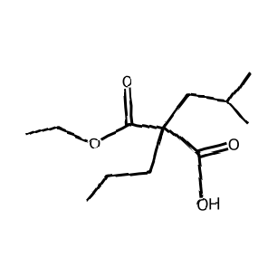 CCCC(CC(C)C)(C(=O)O)C(=O)OCC